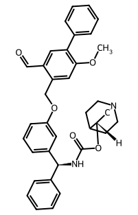 COc1cc(COc2cccc([C@@H](NC(=O)O[C@H]3CN4CCC3CC4)c3ccccc3)c2)c(C=O)cc1-c1ccccc1